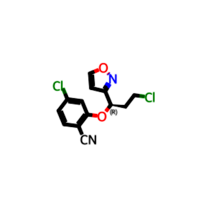 N#Cc1ccc(Cl)cc1O[C@H](CCCl)c1ccon1